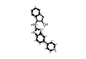 OC1Cc2ccccc2C1Nc1nc2ccc(-c3ccncc3)cc2s1